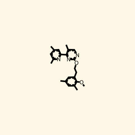 COc1c(C)cc(C)cc1CCOc1ncc(C)c(-c2cc(C)cc(C)n2)n1